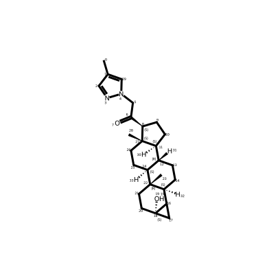 Cc1cnn(CC(=O)[C@H]2CC[C@H]3[C@@H]4CC[C@H]5C6C[C@@]6(O)CC[C@]5(C)[C@H]4CC[C@]23C)c1